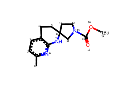 Cc1ccc2c(n1)NC1(CC2)CCN(C(=O)OC(C)(C)C)C1